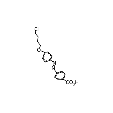 O=C(O)c1ccc(N=Nc2ccc(OCCCCCl)cc2)cc1